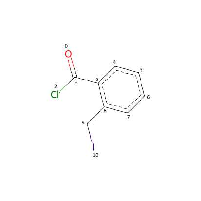 O=C(Cl)c1ccccc1CI